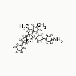 C=C(/C=C(\C=C(/C)c1ccc(-c2ccc(N)cc2)cc1)c1ccc(-c2ccccc2)cc1)c1cccc(C)c1